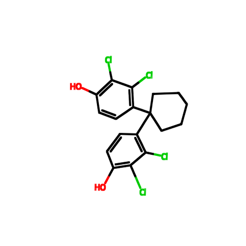 Oc1ccc(C2(c3ccc(O)c(Cl)c3Cl)CCCCC2)c(Cl)c1Cl